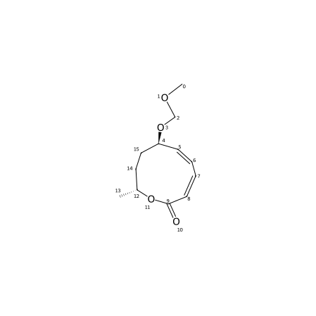 COCO[C@H]1C=CC=CC(=O)O[C@H](C)CC1